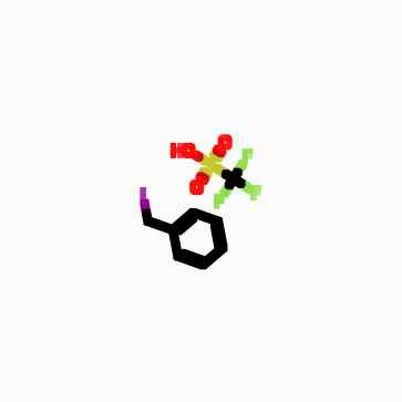 ICc1ccccc1.O=S(=O)(O)C(F)(F)F